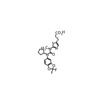 CN(C(=O)N(c1ccc2c(c1)OC(F)(F)O2)C1CCCC1)c1ncc(SCC(=O)O)s1